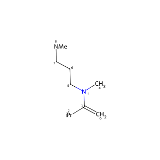 C=C(C(C)C)N(C)CCCNC